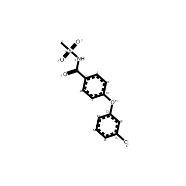 CS(=O)(=O)NC(=O)c1ccc(Oc2cccc(Cl)c2)cc1